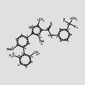 COc1ccc(-c2[nH]c(C)c(C(=O)Nc3cccc(C(C)(F)F)c3)[n+]2O)cc1-c1c(C)cccc1C